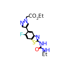 CCNC(=O)Nc1nc2cc(-c3cnn(CC(=O)OCC)c3)c(F)cc2s1